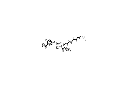 CCCCCCCCC1[C@@H](CCSC2=NC(C=O)CS2)C(Cl)C[C@H]1O